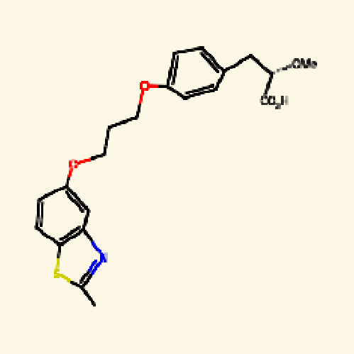 CO[C@@H](Cc1ccc(OCCCOc2ccc3sc(C)nc3c2)cc1)C(=O)O